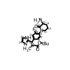 CN(C(=O)OC(C)(C)C)C(c1ccc(N2CCCC(N)C2=O)c(F)c1)c1ncc[nH]1